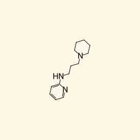 c1ccc(NCCCN2CCCCC2)nc1